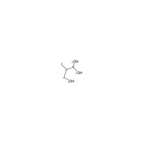 CC(CO)C(O)O